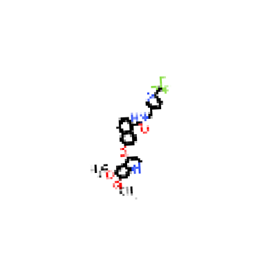 COc1cc2nccc(Oc3ccc4c(C(=O)NCc5ccc(C(F)(F)F)nc5)cccc4c3)c2cc1OC